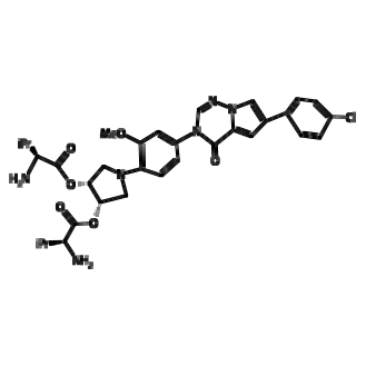 COc1cc(-n2cnn3cc(-c4ccc(Cl)cc4)cc3c2=O)ccc1N1C[C@H](OC(=O)[C@@H](N)C(C)C)[C@H](OC(=O)[C@@H](N)C(C)C)C1